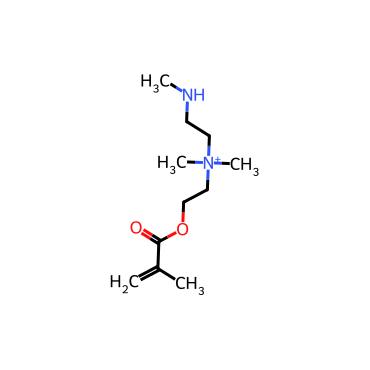 C=C(C)C(=O)OCC[N+](C)(C)CCNC